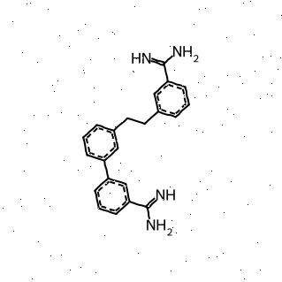 N=C(N)c1cccc(CCc2cccc(-c3cccc(C(=N)N)c3)c2)c1